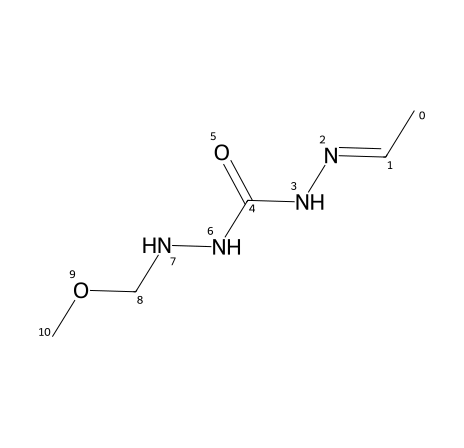 CC=NNC(=O)NNCOC